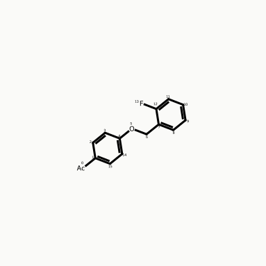 CC(=O)c1ccc(OCc2ccccc2F)cc1